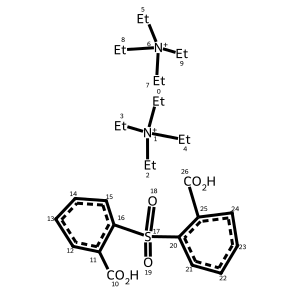 CC[N+](CC)(CC)CC.CC[N+](CC)(CC)CC.O=C(O)c1ccccc1S(=O)(=O)c1ccccc1C(=O)O